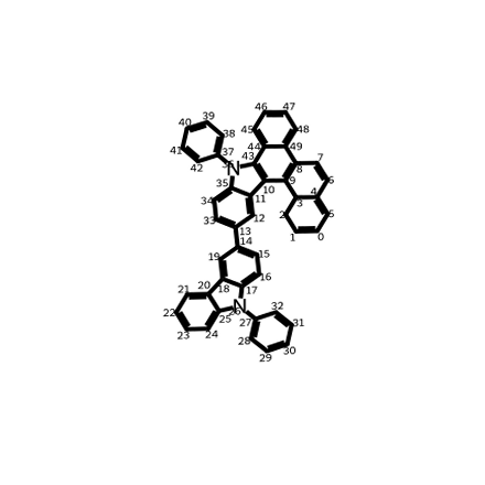 C1=CCC2C(=C1)C=Cc1c2c2c3cc(-c4ccc5c(c4)c4ccccc4n5-c4ccccc4)ccc3n(-c3ccccc3)c2c2ccccc12